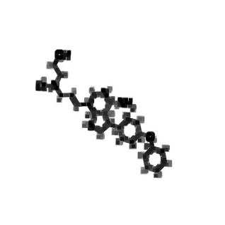 CCN(C/C=C/c1cnc(N)c2c(-c3ccc(Oc4ccccc4)cc3)csc12)CCO